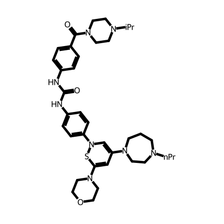 CCCN1CCCN(C2=CN(c3ccc(NC(=O)Nc4ccc(C(=O)N5CCN(C(C)C)CC5)cc4)cc3)SC(N3CCOCC3)=C2)CC1